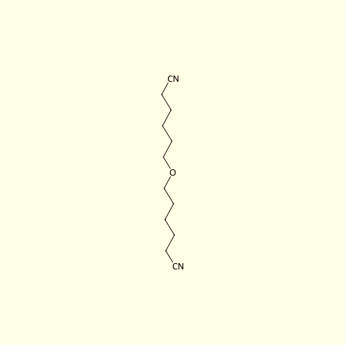 N#CCCCCCOCCCCCC#N